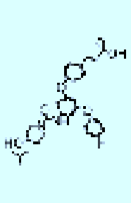 CC(C)CC1(O)CCN(C(=O)Nc2cc(Oc3ccc(F)cc3)cc(Oc3ccc(C=CC(=O)O)cc3)c2)CC1